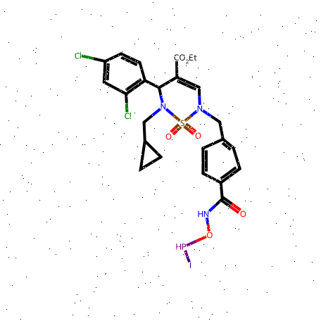 CCOC(=O)C1=CN(Cc2ccc(C(=O)NOPI)cc2)S(=O)(=O)N(CC2CC2)C1c1ccc(Cl)cc1Cl